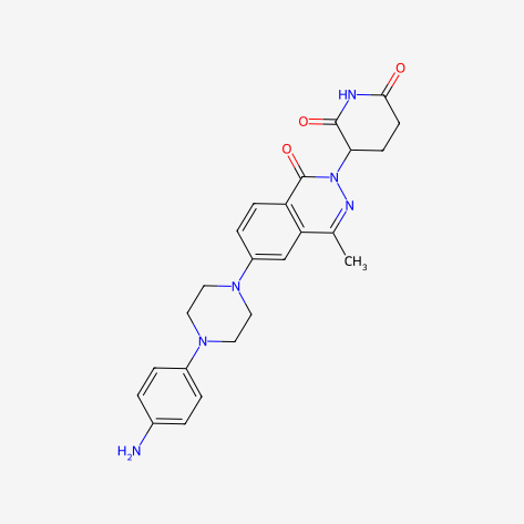 Cc1nn(C2CCC(=O)NC2=O)c(=O)c2ccc(N3CCN(c4ccc(N)cc4)CC3)cc12